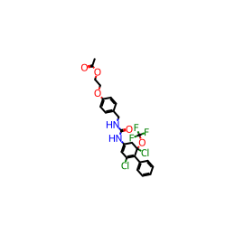 CC(=O)OCCOc1ccc(CNC(=O)NC2=CC(Cl)=C(c3ccccc3)C(Cl)(OC(F)(F)F)C2)cc1